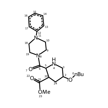 CCCCOC1CNC(C(=O)N2CCN(c3ccccc3)CC2)C(C(=O)OC)C1